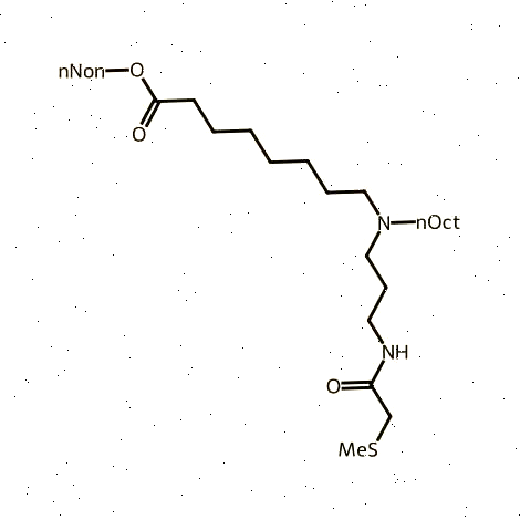 CCCCCCCCCOC(=O)CCCCCCCN(CCCCCCCC)CCCNC(=O)CSC